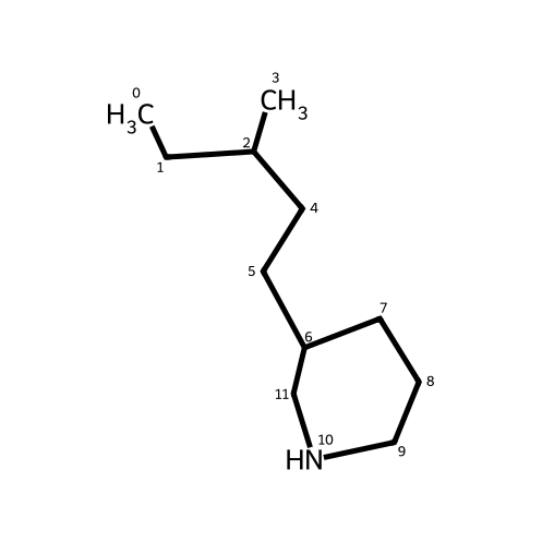 CCC(C)CCC1CCCNC1